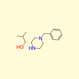 CC(C)C(O)[C@@H]1CN(Cc2ccccc2)CCN1